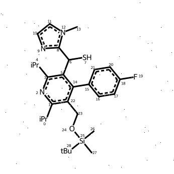 CC(C)c1nc(C(C)C)c(C(S)c2nccn2C)c(-c2ccc(F)cc2)c1CO[Si](C)(C)C(C)(C)C